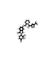 CC(C)c1cc(C(=O)N2CCCCC2COc2ccc3c(c2)CN(C2CCC(=O)NC2=O)C3=O)no1